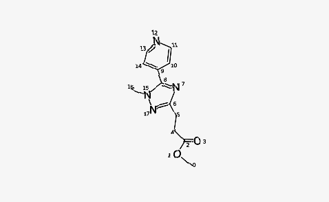 COC(=O)CCc1nc(-c2ccncc2)n(C)n1